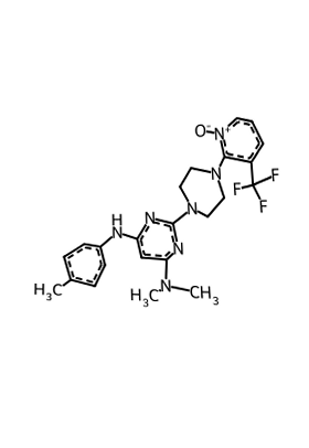 Cc1ccc(Nc2cc(N(C)C)nc(N3CCN(c4c(C(F)(F)F)ccc[n+]4[O-])CC3)n2)cc1